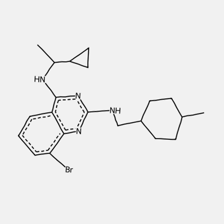 CC1CCC(CNc2nc(NC(C)C3CC3)c3cccc(Br)c3n2)CC1